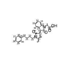 C=c1s/c(=C2\C(=O)N(CC(=O)O)c3ccccc32)c(=O)n1CCCCc1ccccc1